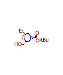 CC[C@@H]1CN(C(=O)OC(C)(C)C)C[C@H](CO)O1